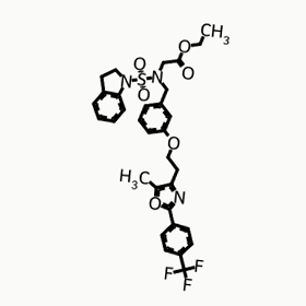 CCOC(=O)CN(Cc1cccc(OCCc2nc(-c3ccc(C(F)(F)F)cc3)oc2C)c1)S(=O)(=O)N1CCc2ccccc21